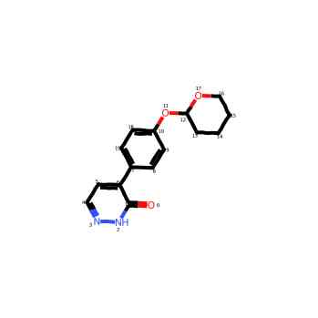 O=c1[nH]nccc1-c1ccc(OC2CCCCO2)cc1